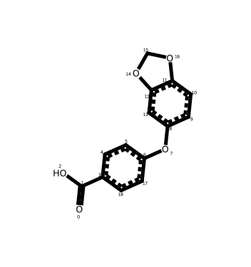 O=C(O)c1ccc(Oc2ccc3c(c2)OCO3)cc1